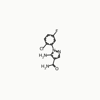 NC(=O)c1cnn(-c2cc(F)ccc2Cl)c1N